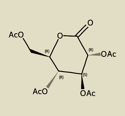 CC(=O)OC[C@H]1OC(=O)[C@H](OC(C)=O)[C@@H](OC(C)=O)[C@@H]1OC(C)=O